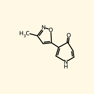 Cc1cc(-c2c[nH]ccc2=O)on1